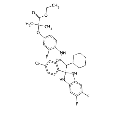 CCOC(=O)C(C)(C)Oc1ccc(NC(=O)C(C2CCCCC2)C2(c3ccc(Cl)cc3)Nc3cc(F)c(F)cc3N2)c(F)c1